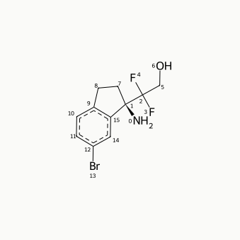 N[C@]1(C(F)(F)CO)CCc2ccc(Br)cc21